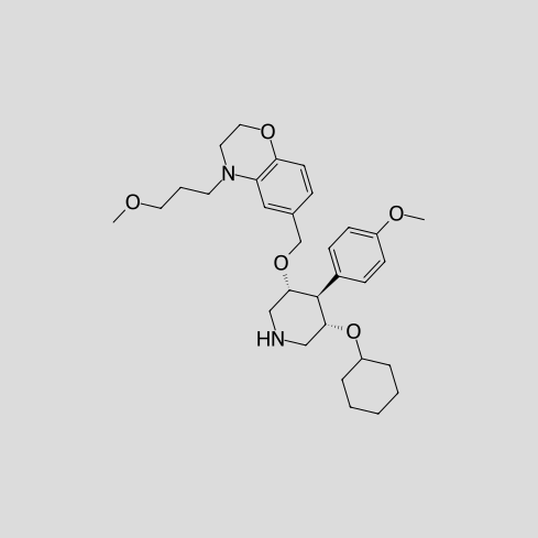 COCCCN1CCOc2ccc(CO[C@H]3CNC[C@@H](OC4CCCCC4)[C@@H]3c3ccc(OC)cc3)cc21